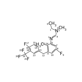 CCN(C)C=Nc1cc(F)cc(Cc2ccc(F)c(C(F)(F)F)c2)c1C